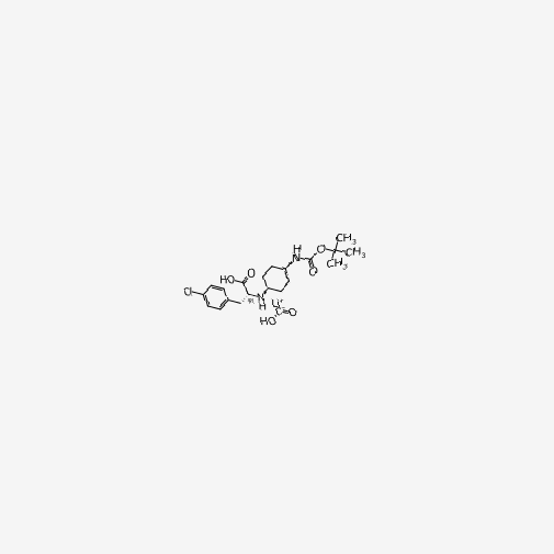 CC(C)(C)OC(=O)N[C@H]1CC[C@@H](N[C@H](Cc2ccc(Cl)cc2)C(=O)O)CC1.O=[C-]O.[Li+]